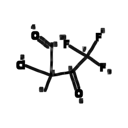 CC(Cl)([C]=O)C(=O)C(F)(F)F